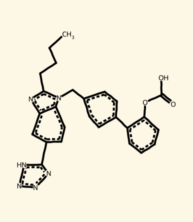 CCCCc1nc2cc(-c3nnn[nH]3)ccc2n1Cc1ccc(-c2ccccc2OC(=O)O)cc1